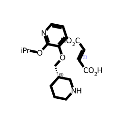 CC(C)Oc1ncccc1OC[C@H]1CCCNC1.O=C(O)/C=C/C(=O)O